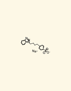 O=S(=O)([O-])c1ccc(CCCCn2nnc3ccccc32)cc1.[Na+]